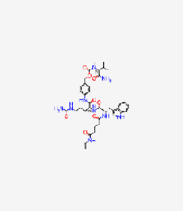 CCNC(=O)CCCC(=O)N[C@@H](Cc1c[nH]c2ccccc12)C(=O)N[C@@H](CCCNC(N)=O)C(=O)Nc1ccc(COC(=O)N(C)[C@H](C(N)=O)C(C)C)cc1